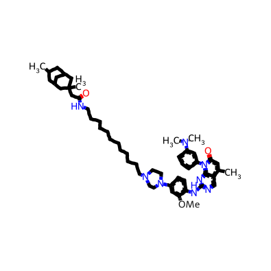 COc1cc(N2CCN(CCCCCCCCCCCCNC(=O)CC3(C)CC4CC(C)CC(C4)C3)CC2)ccc1Nc1ncc2c(C)cc(=O)n(-c3cccc(N(C)C)c3)c2n1